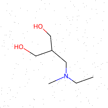 CCN(C)CC(CO)CO